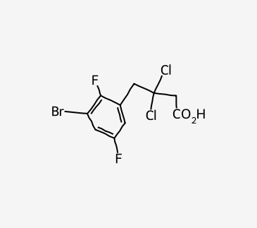 O=C(O)CC(Cl)(Cl)Cc1cc(F)cc(Br)c1F